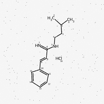 CC(C)CCNC(=N)C=Cc1ccccc1.Cl